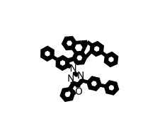 c1ccc(-c2ccc(-c3nc(-n4c5ccc(-c6ccccc6)cc5c5c6c7c(cc54)-c4cc(-c5ccccc5)ccc4C4C(c5ccccc5-6)C74)nc4c3oc3ccccc34)cc2)cc1